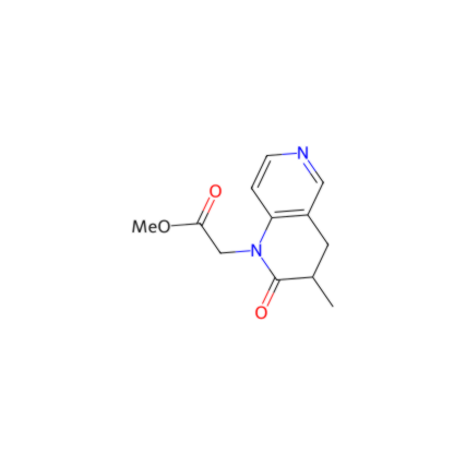 COC(=O)CN1C(=O)C(C)Cc2cnccc21